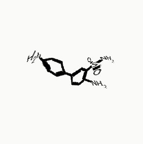 Nc1ccc(-c2ccc(N)c(S(N)(=O)=O)c2)cc1